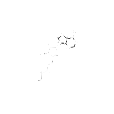 Nc1ncnc2c1ncn2[C@H]1O[C@@H](CSCCCO)[C@H](O)[C@@H]1O